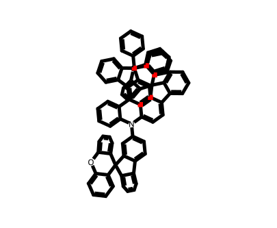 c1ccc(C2(c3ccccc3)c3ccccc3-c3c(-c4ccccc4N(c4ccc5c(c4)C4(c6ccccc6Oc6ccccc64)c4ccccc4-5)c4ccc5c(c4)C4(c6ccccc6Oc6ccccc64)c4ccccc4-5)cccc32)cc1